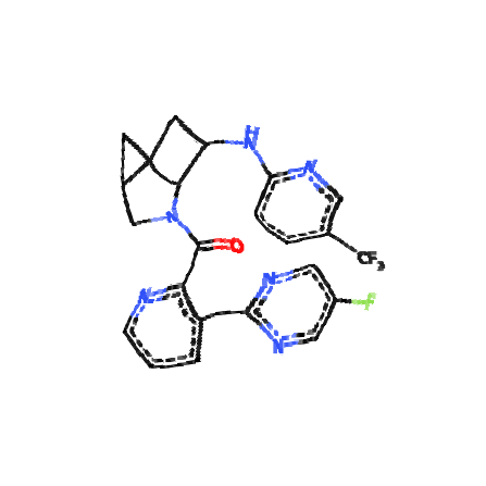 O=C(c1ncccc1-c1ncc(F)cn1)N1CC2CC23CC(Nc2ccc(C(F)(F)F)cn2)C13